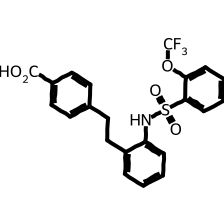 O=C(O)c1ccc(CCc2ccccc2NS(=O)(=O)c2ccccc2OC(F)(F)F)cc1